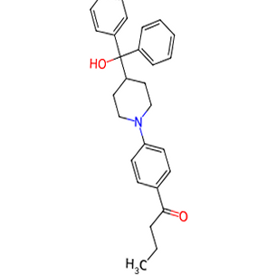 CCCC(=O)c1ccc(N2CCC(C(O)(c3ccccc3)c3ccccc3)CC2)cc1